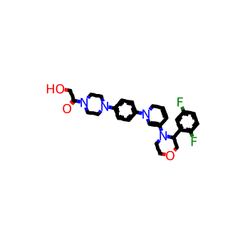 O=C(CO)N1CCN(c2ccc(N3C=C(N4CCOCC4c4cc(F)ccc4F)C=CC3)cc2)CC1